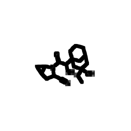 CCC1(O)CC2CCCC(C(N)C(=O)N3C(C#N)CC4CC43)(C2)C1